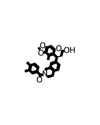 Cc1ccc(C(=O)N2CCc3ccc([C@H](CC(=O)O)c4ccc5c(c4C)OCO5)cc3C2)cc1C